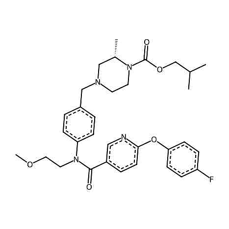 COCCN(C(=O)c1ccc(Oc2ccc(F)cc2)nc1)c1ccc(CN2CCN(C(=O)OCC(C)C)[C@@H](C)C2)cc1